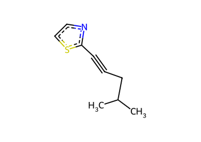 CC(C)CC#Cc1nccs1